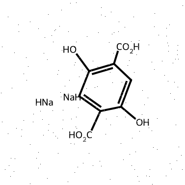 O=C(O)c1cc(O)c(C(=O)O)cc1O.[NaH].[NaH]